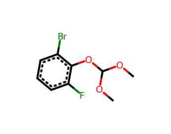 COC(OC)Oc1c(F)cccc1Br